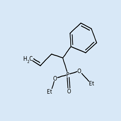 C=CCC(c1ccccc1)P(=O)(OCC)OCC